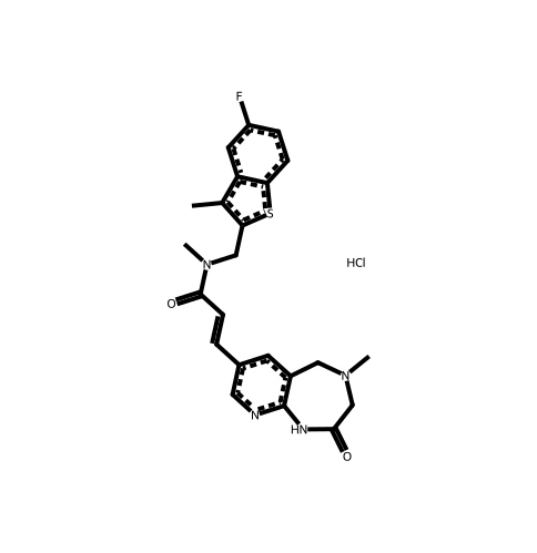 Cc1c(CN(C)C(=O)C=Cc2cnc3c(c2)CN(C)CC(=O)N3)sc2ccc(F)cc12.Cl